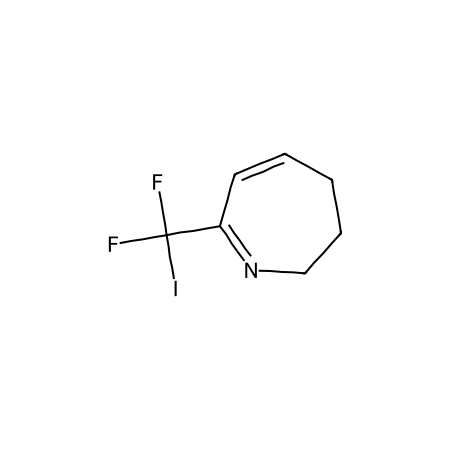 FC(F)(I)C1=NCCCC=C1